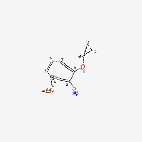 N#Cc1c(Br)cccc1OC1CC1